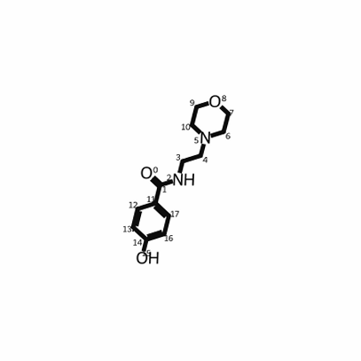 O=C(NCCN1CCOCC1)c1c[c]c(O)cc1